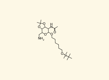 CC(=O)NC1C(OCCCCCCO[Si](C)(C)C(C)(C)C)OC(CN)C2OC(C)(C)OC12